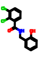 O=C(NCc1ccccc1O)c1cccc(Cl)c1Cl